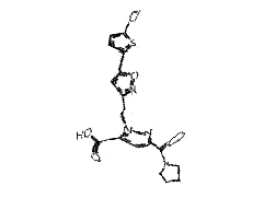 O=C(O)c1cc(C(=O)N2CCCC2)nn1Cc1cc(-c2ccc(Cl)s2)on1